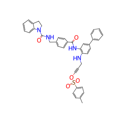 Cc1ccc(S(=O)(=O)OC#CCNc2ccc(-c3ccccc3)cc2NC(=O)c2ccc(CNC(=O)N3CCc4ccccc43)cc2)cc1